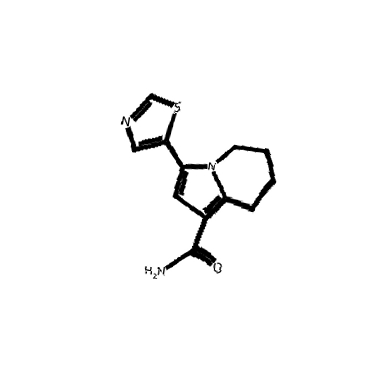 NC(=O)c1cc(-c2cncs2)n2c1CCCC2